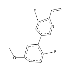 C=Cc1ncc(-c2cc(OC)ccc2F)cc1F